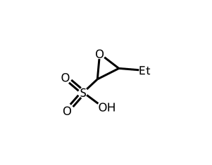 CCC1OC1S(=O)(=O)O